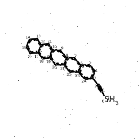 [SiH3]C#Cc1ccc2cc3cc4cc5ccccc5cc4cc3cc2c1